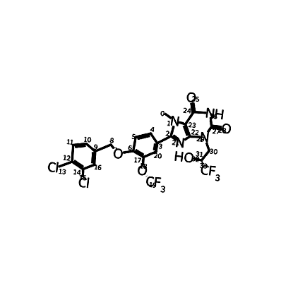 Cn1c(-c2ccc(OCc3ccc(Cl)c(Cl)c3)c(OC(F)(F)F)c2)nc2c1c(=O)[nH]c(=O)n2C[C@@H](O)C(F)(F)F